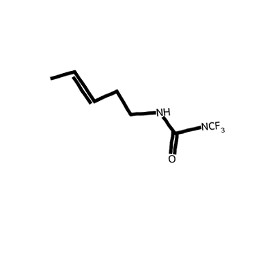 CC=CCCNC(=O)NC(F)(F)F